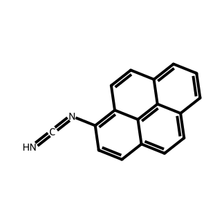 N=C=Nc1ccc2ccc3cccc4ccc1c2c34